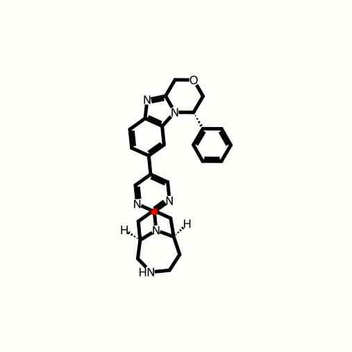 c1ccc([C@H]2COCc3nc4ccc(-c5cnc(N6[C@H]7CCC[C@@H]6CNCC7)nc5)cc4n32)cc1